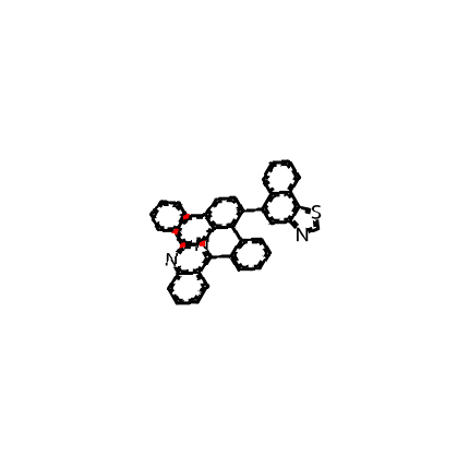 c1ccc(-c2nc(-c3ccccc3-c3c(-c4cc5ncsc5c5ccccc45)ccc4ccccc34)c3ccccc3n2)cc1